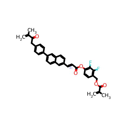 C=C(C)C(=O)Cc1ccc(-c2ccc3cc(/C=C/C(=O)Oc4ccc(COC(=O)C(=C)C)c(F)c4F)ccc3c2)cc1